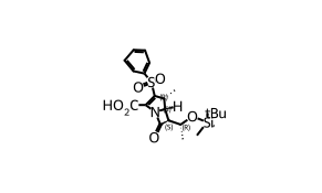 C[C@@H](O[Si](C)(C)C(C)(C)C)[C@H]1C(=O)N2C(C(=O)O)=C(S(=O)(=O)c3ccccc3)[C@H](C)[C@H]12